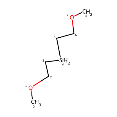 COCC[SiH2]CCOC